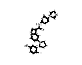 O=C(Nc1ccc(-n2ccnc2)cn1)c1cnn2ccc(N3CCC[C@@H]3c3cc(F)ccc3F)cc12